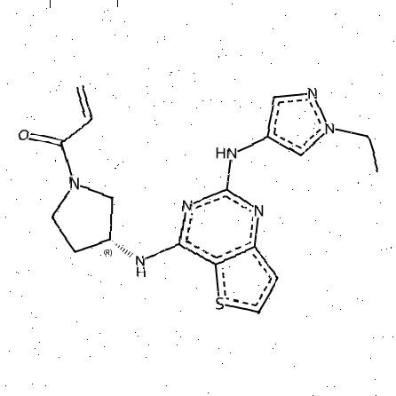 C=CC(=O)N1CC[C@@H](Nc2nc(Nc3cnn(CC)c3)nc3ccsc23)C1